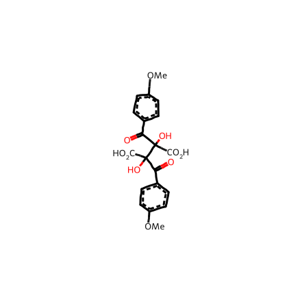 COc1ccc(C(=O)C(O)(C(=O)O)C(O)(C(=O)O)C(=O)c2ccc(OC)cc2)cc1